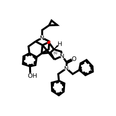 O=C(N(Cc1ccccc1)Cc1ccccc1)N1C[C@H]2CC34CCC1C2C31CCN(CC2CC2)C4Cc2ccc(O)cc21